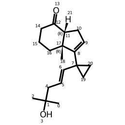 CC(C)(O)CC=CC1(C2=CC[C@H]3C(=O)CCC[C@@]23C)CC1